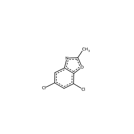 Cc1nc2cc(Cl)cc(Cl)c2o1